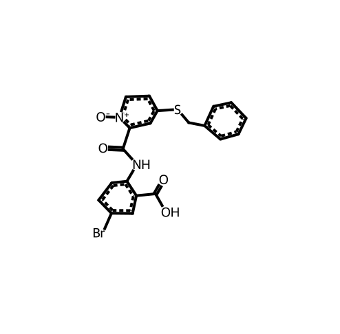 O=C(O)c1cc(Br)ccc1NC(=O)c1cc(SCc2ccccc2)cc[n+]1[O-]